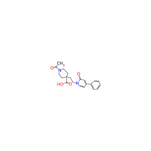 CC(=O)N1CCC(CCn2ccc(-c3ccccc3)cc2=O)(C(=O)O)CC1